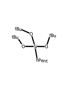 CCCCC[Si](OC(C)(C)C)(OC(C)(C)C)OC(C)(C)C